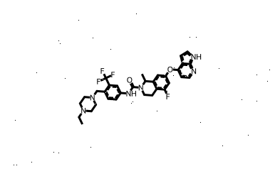 CCN1CCN(Cc2ccc(NC(=O)N3CCc4c(F)cc(Oc5ccnc6[nH]ccc56)cc4C3C)cc2C(F)(F)F)CC1